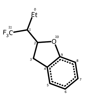 CCC(C1Cc2ccccc2O1)C(F)(F)F